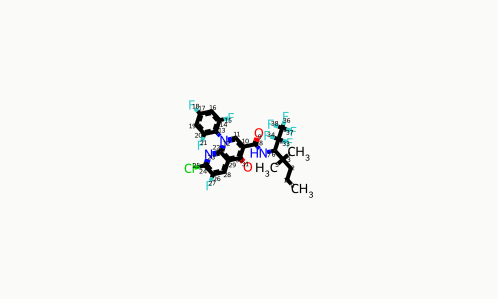 CCCC(C)(C)C(NC(=O)c1cn(-c2c(F)cc(F)cc2F)c2nc(Cl)c(F)cc2c1=O)C(F)(F)C(F)(F)F